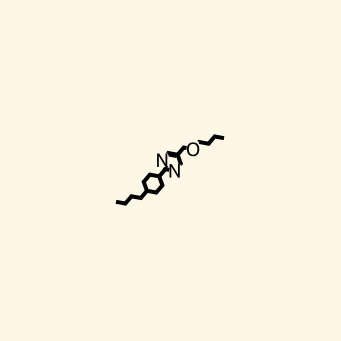 CCCCOCc1cnc(C2CCC(CCCC)CC2)nc1